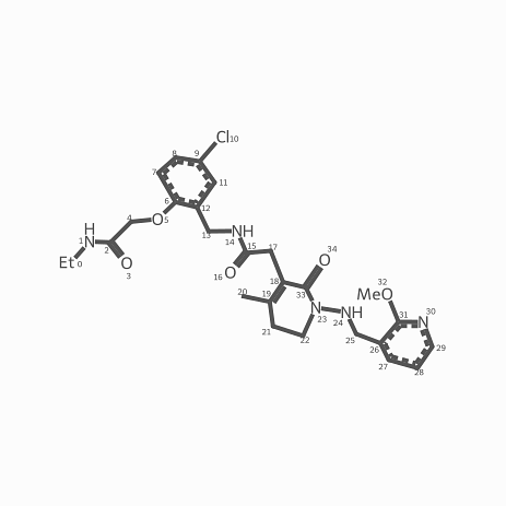 CCNC(=O)COc1ccc(Cl)cc1CNC(=O)CC1=C(C)CCN(NCc2cccnc2OC)C1=O